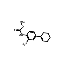 CC(C)(C)OC(=O)Nc1ccc(C2=CCCCC2)cc1N